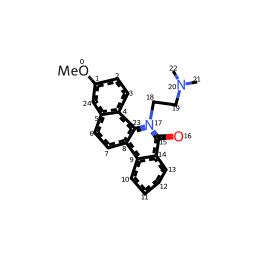 COc1ccc2c(ccc3c4ccccc4c(=O)n(CCN(C)C)c23)c1